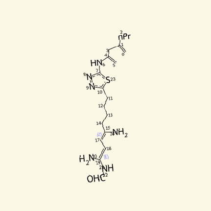 C=C(CCC)CC(=C)Nc1nnc(CCCC/C(N)=C/C=C(\N)NC=O)s1